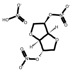 O=[N+]([O-])O.O=[N+]([O-])O[C@H]1CO[C@H]2[C@@H]1OC[C@H]2O[N+](=O)[O-]